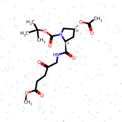 COC(=O)CCC(=O)CNC(=O)[C@@H]1C[C@@H](OC(C)=O)CN1C(=O)OC(C)(C)C